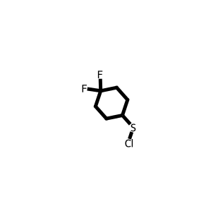 FC1(F)CCC(SCl)CC1